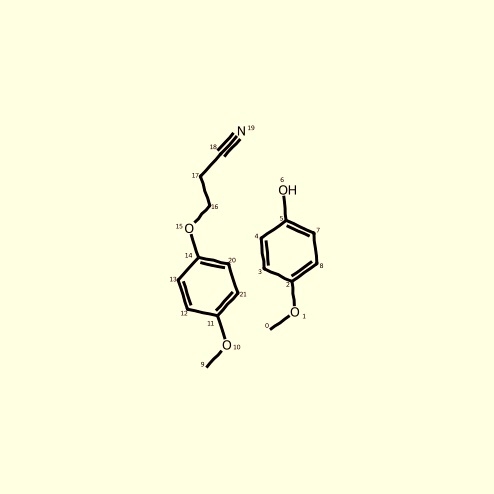 COc1ccc(O)cc1.COc1ccc(OCCC#N)cc1